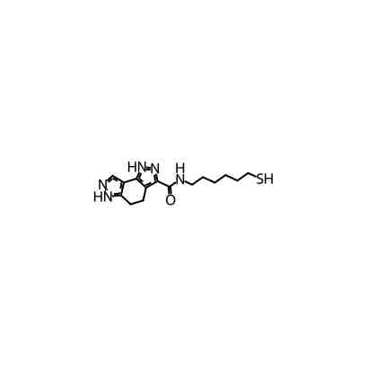 O=C(NCCCCCCS)c1n[nH]c2c1CCc1[nH]ncc1-2